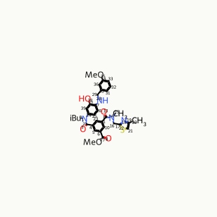 CCC(C)N(C(=O)c1cc(C(=O)OC)cc(C(=O)N(C)Cc2nc(C)cs2)c1)c1ccc(NCc2cccc(OC)c2)c(O)c1